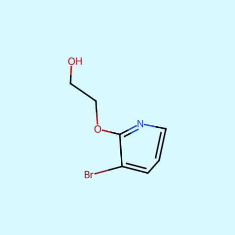 OCCOc1ncccc1Br